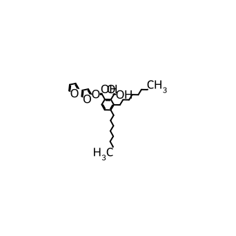 CCCCCCCCc1ccc(C(=O)O)c(C(=O)O)c1CCCCCCCC.c1ccoc1.c1ccoc1